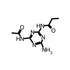 CCC(=O)Nc1nc(N)nc(NC(C)=O)n1